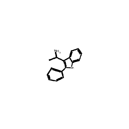 CC(N)c1c(-c2ccccc2)[nH]c2ccccc12